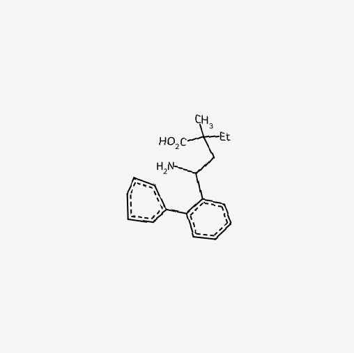 CCC(C)(CC(N)c1ccccc1-c1ccccc1)C(=O)O